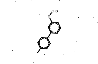 Cc1ccc(-c2cccc(OC=O)c2)cc1